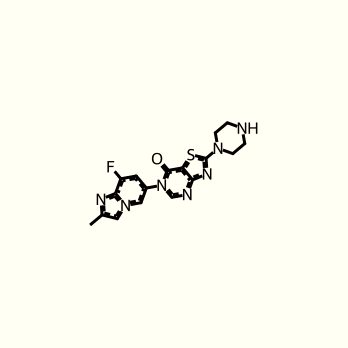 Cc1cn2cc(-n3cnc4nc(N5CCNCC5)sc4c3=O)cc(F)c2n1